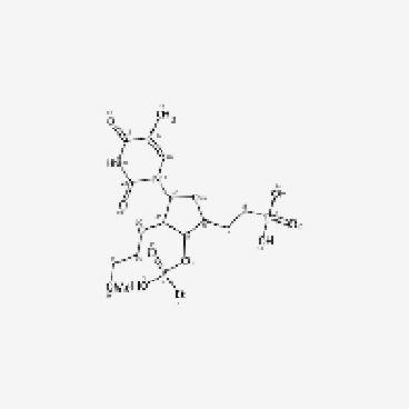 CCP(=O)(O)OC1C(CCP(=O)(O)O)OC(n2cc(C)c(=O)[nH]c2=O)C1OCCOC